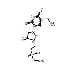 COP(=O)(O)OC[C@H]1O[C@@H](n2cc(CN)c(=O)[nH]c2=O)CC1O